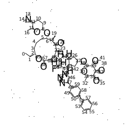 CC[C@H]1CCC[C@H](O[C@H]2CC[C@H](N(C)C)C(C)O2)[C@@H](C)C(=O)C2=C[C@H]3[C@@H]4C[C@H](O[C@@H]5OC(C)[C@H](OC)C(OC)C5OC)C[C@H]4C(n4cc(-c5ccc(-c6ccccc6)cc5)nn4)[C@@H](F)[C@H]3[C@@H]2CC(=O)O1